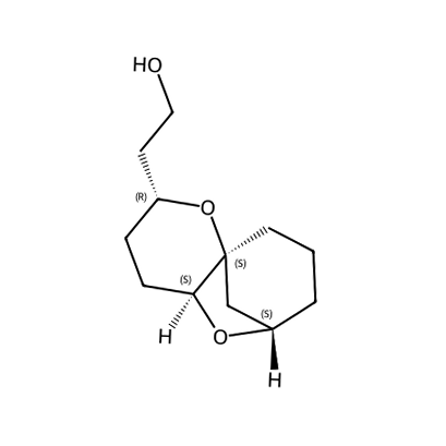 OCC[C@H]1CC[C@@H]2O[C@H]3CCC[C@@]2(C3)O1